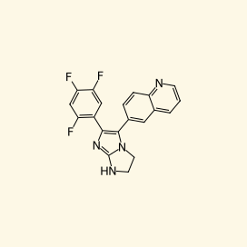 Fc1cc(F)c(-c2nc3n(c2-c2ccc4ncccc4c2)CCN3)cc1F